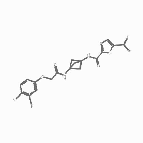 O=C(COc1ccc(Cl)c(F)c1)NC12CC(NC(=O)c3ncc(C(F)F)s3)(C1)C2